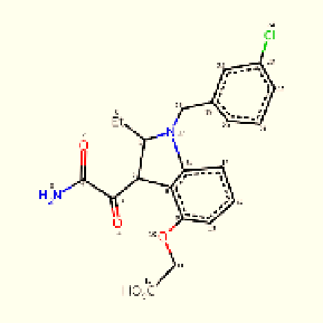 CCC1C(C(=O)C(N)=O)c2c(OCC(=O)O)cccc2N1Cc1cccc(Cl)c1